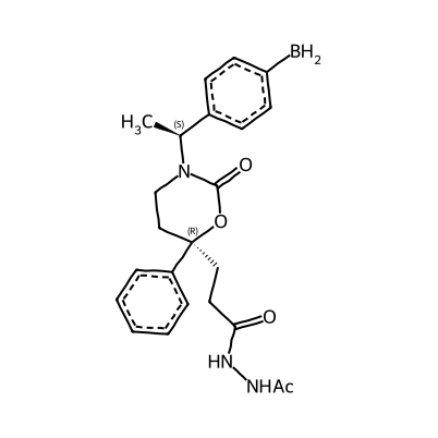 Bc1ccc([C@H](C)N2CC[C@](CCC(=O)NNC(C)=O)(c3ccccc3)OC2=O)cc1